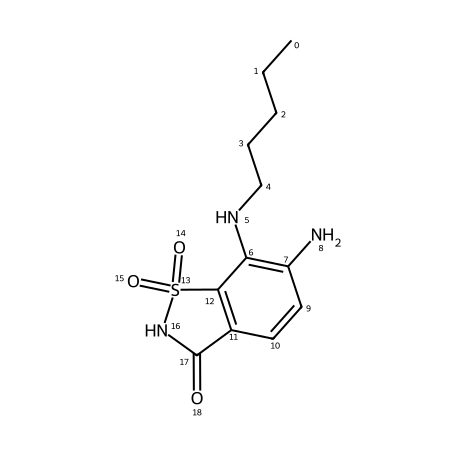 CCCCCNc1c(N)ccc2c1S(=O)(=O)NC2=O